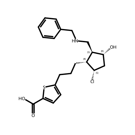 O=C(O)c1ccc(CCC[C@@H]2[C@@H](CNCc3ccccc3)[C@H](O)C[C@@H]2Cl)s1